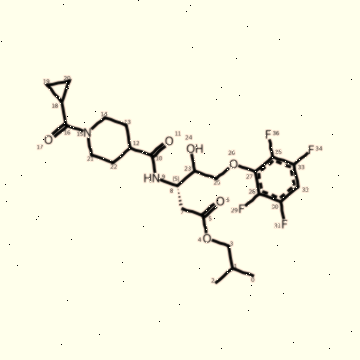 CC(C)COC(=O)C[C@H](NC(=O)C1CCN(C(=O)C2CC2)CC1)C(O)COc1c(F)c(F)cc(F)c1F